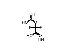 O=C(O)C(F)(F)OB(O)O.[LiH]